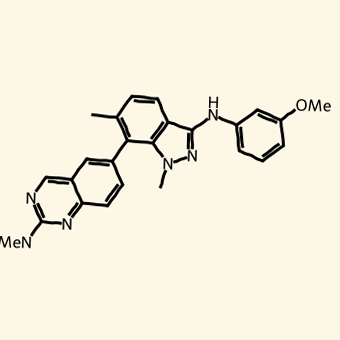 CNc1ncc2cc(-c3c(C)ccc4c(Nc5cccc(OC)c5)nn(C)c34)ccc2n1